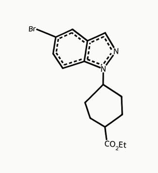 CCOC(=O)C1CCC(n2ncc3cc(Br)ccc32)CC1